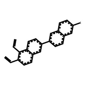 C=Cc1ccc2cc(-c3ccc4cc(I)ccc4c3)ccc2c1C=C